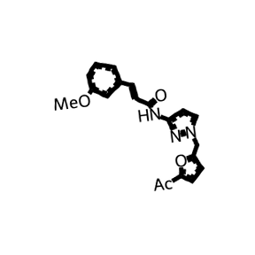 COc1cccc(C=CC(=O)Nc2ccn(Cc3ccc(C(C)=O)o3)n2)c1